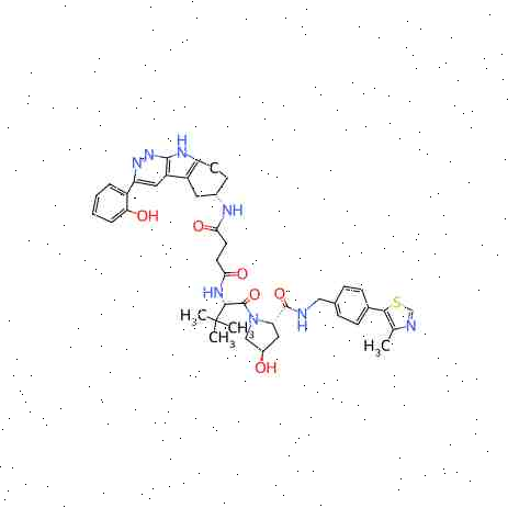 Cc1ncsc1-c1ccc(CNC(=O)[C@@H]2C[C@@H](O)CN2C(=O)[C@@H](NC(=O)CCC(=O)N[C@H]2CCc3[nH]c4nnc(-c5ccccc5O)cc4c3C2)C(C)(C)C)cc1